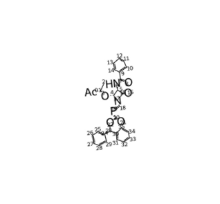 CC(=O)[C@H](C)O[C@@H]1[C@@H](NC(=O)c2ccccc2)C(=O)N1/C=P/C(=O)OC(c1ccccc1)c1ccccc1